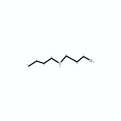 CCCCSCCC[O]